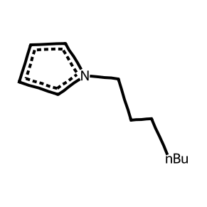 CCCCCCCn1cccc1